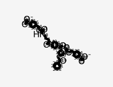 O=C(NCCCC(=O)N1CCN(C(=O)[C@@H]2C[C@H](SC(=O)c3ccccc3)CN2C(=O)OCc2ccc([N+](=O)[O-])cc2)CC1)OCc1ccc([N+](=O)[O-])cc1